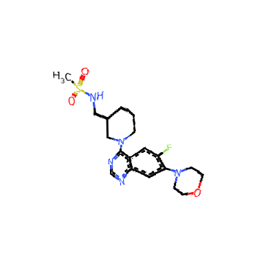 CS(=O)(=O)NCC1CCCN(c2ncnc3cc(N4CCOCC4)c(F)cc23)C1